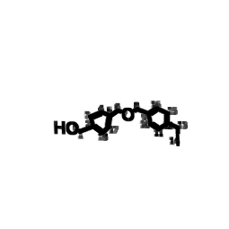 OCc1ccc(COCc2ccc(CI)cc2)cc1